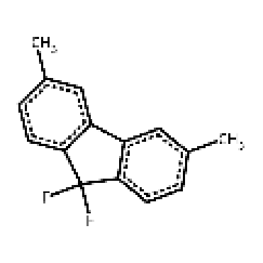 Cc1ccc2c(c1)-c1cc(C)ccc1C2(F)F